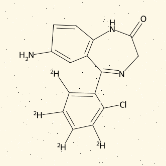 [2H]c1c([2H])c([2H])c(C2=NCC(=O)Nc3ccc(N)cc32)c(Cl)c1[2H]